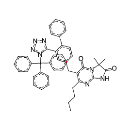 CCCCc1nc2n(c(=O)c1Cc1ccc(-c3ccccc3)c(-c3nnnn3C(c3ccccc3)(c3ccccc3)c3ccccc3)c1)C(C)(C)C(=O)N2